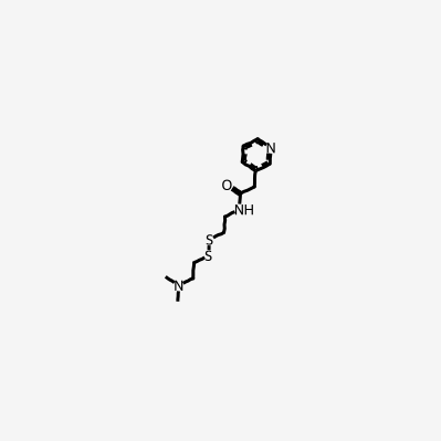 CN(C)CCSSCCNC(=O)Cc1cccnc1